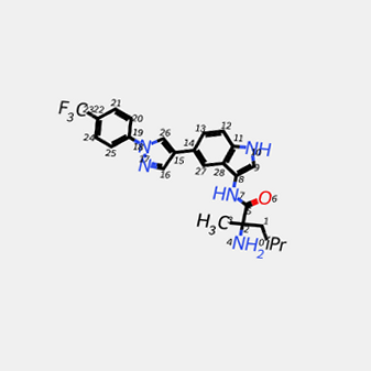 CC(C)CC(C)(N)C(=O)Nc1c[nH]c2ccc(-c3cnn(-c4ccc(C(F)(F)F)cc4)c3)cc12